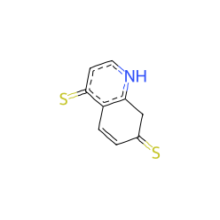 S=C1C=Cc2c([nH]ccc2=S)C1